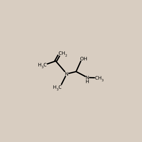 C=C(C)N(C)C(O)NC